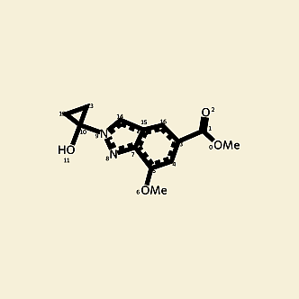 COC(=O)c1cc(OC)c2nn(C3(O)CC3)cc2c1